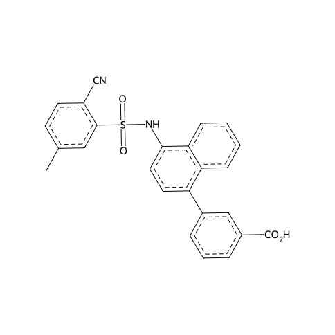 Cc1ccc(C#N)c(S(=O)(=O)Nc2ccc(-c3cccc(C(=O)O)c3)c3ccccc23)c1